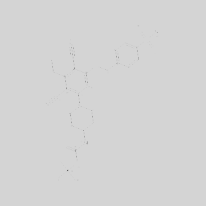 CCc1c(C#N)c(SCc2ccc(S(N)(=O)=O)cc2)nc(N2CCC(NC(=O)OC(C)(C)C)CC2)c1C#N